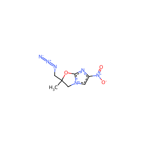 CC1(CN=[N+]=[N-])Cn2cc([N+](=O)[O-])nc2O1